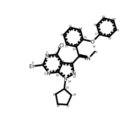 CCc1nc(Cl)c2c(/C(=N/C)c3ccccc3Oc3ccccc3)nn(C3CCCC3)c2n1